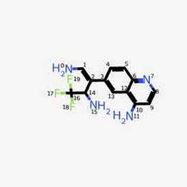 N/C=C(/c1ccc2nccc(N)c2c1)C(N)C(F)(F)F